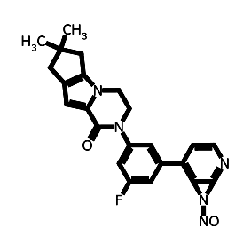 CC1(C)Cc2cc3n(c2C1)CCN(c1cc(F)cc(-c2ccnc4c2N4N=O)c1)C3=O